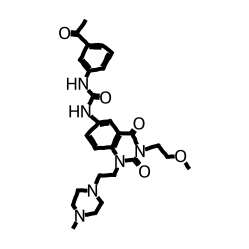 COCCn1c(=O)c2cc(NC(=O)Nc3cccc(C(C)=O)c3)ccc2n(CCN2CCN(C)CC2)c1=O